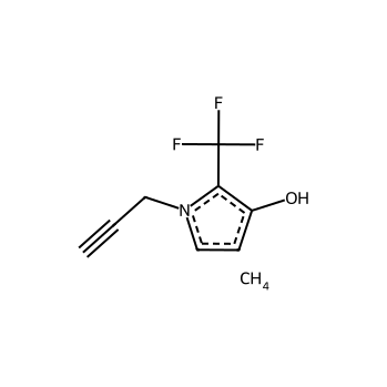 C.C#CCn1ccc(O)c1C(F)(F)F